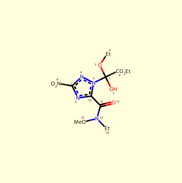 CCOC(=O)C(O)(OCC)n1nc([N+](=O)[O-])nc1C(=O)N(CC)OC